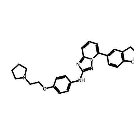 c1cc(-c2ccc3c(c2)CCO3)n2nc(Nc3ccc(OCCN4CCCC4)cc3)nc2c1